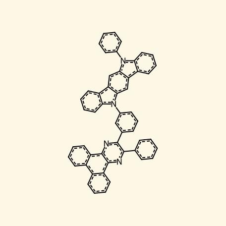 c1ccc(-c2nc3c4ccccc4c4ccccc4c3nc2-c2cccc(-n3c4ccccc4c4cc5c(cc43)c3ccccc3n5-c3ccccc3)c2)cc1